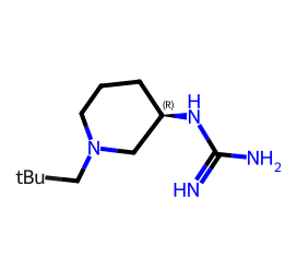 CC(C)(C)CN1CCC[C@@H](NC(=N)N)C1